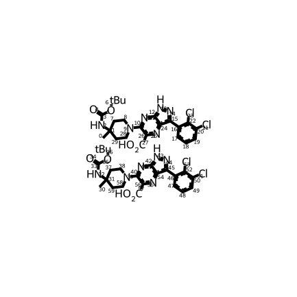 CC1(NC(=O)OC(C)(C)C)CCN(c2nc3[nH]nc(-c4cccc(Cl)c4Cl)c3nc2C(=O)O)CC1.CC1(NC(=O)OC(C)(C)C)CCN(c2nc3[nH]nc(-c4cccc(Cl)c4Cl)c3nc2C(=O)O)CC1